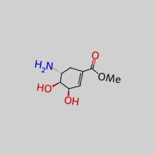 COC(=O)C1=C[C@@H](O)[C@@H](O)[C@H](N)C1